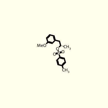 COc1cccc(C[C@H](C)OS(=O)(=O)c2ccc(C)cc2)c1